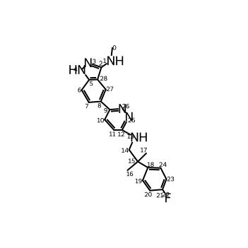 CNc1n[nH]c2ccc(-c3ccc(NCC(C)(C)c4ccc(F)cc4)nn3)cc12